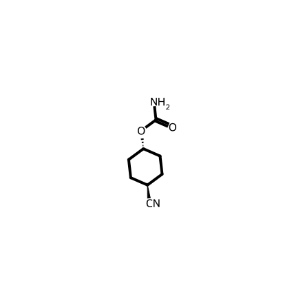 N#C[C@H]1CC[C@H](OC(N)=O)CC1